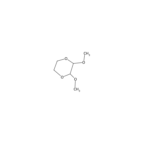 COC1OCCOC1OC